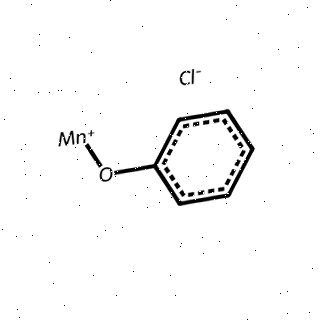 [Cl-].[Mn+][O]c1ccccc1